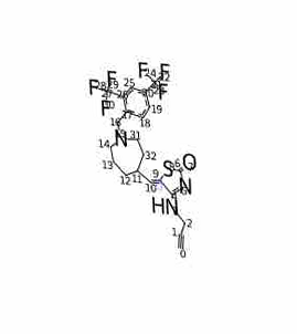 C#CCNC1=NC(=O)S/C1=C\C1CCCN(Cc2ccc(C(F)(F)F)cc2C(F)(F)F)CC1